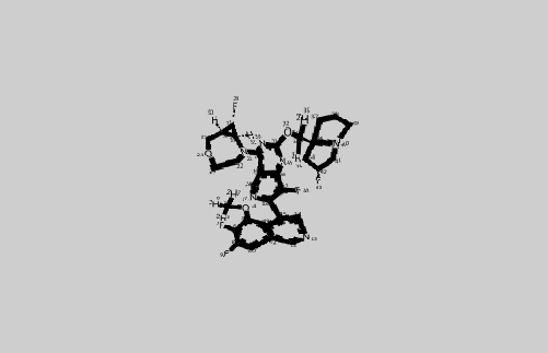 [2H]C([2H])([2H])Oc1c(F)c(F)cc2cncc(-c3ncc4c(N5CCOC[C@H]6[C@H](F)[C@H]65)nc(OC([2H])([2H])[C@@]56CCCN5C[C@H](F)C6)nc4c3F)c12